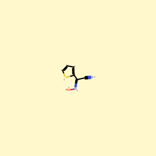 N#C/C(=N/O)c1cccs1